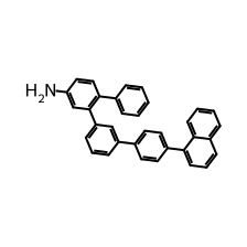 Nc1ccc(-c2ccccc2)c(-c2cccc(-c3ccc(-c4cccc5ccccc45)cc3)c2)c1